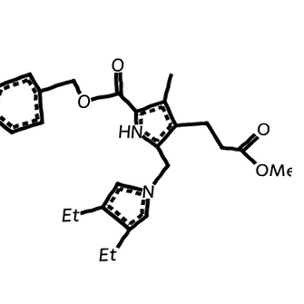 CCc1cn(Cc2[nH]c(C(=O)OCc3ccccc3)c(C)c2CCC(=O)OC)cc1CC